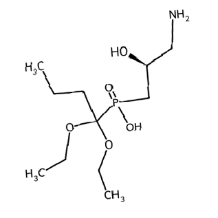 CCCC(OCC)(OCC)P(=O)(O)C[C@@H](O)CN